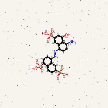 Nc1ccc(N=Nc2ccc(S(=O)(=O)O)c3ccc(S(=O)(=O)O)cc23)c2cc(S(=O)(=O)O)cc(O)c12